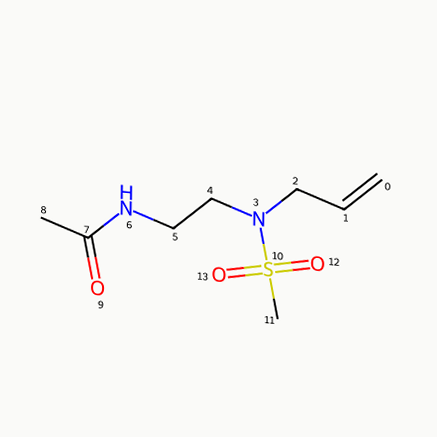 C=CCN(CCNC(C)=O)S(C)(=O)=O